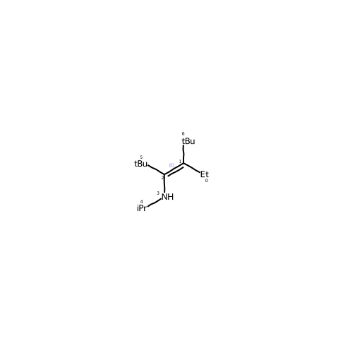 CC/C(=C(\NC(C)C)C(C)(C)C)C(C)(C)C